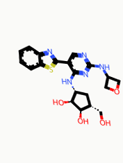 OC[C@H]1C[C@@H](Nc2nc(NC3COC3)ncc2-c2nc3ccccc3s2)[C@H](O)[C@@H]1O